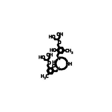 Cc1cc(COC(CO)CO)c(O)c(CN2CCCNCCCN(Cc3cc(C)cc(COC(CO)CO)c3O)CCC2)c1